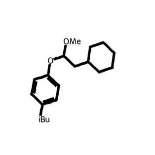 CCC(C)c1ccc(OC(CC2CCCCC2)OC)cc1